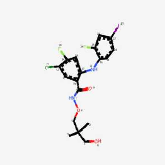 CC(C)(CO)CONC(=O)c1cc(Cl)c(F)cc1Nc1ccc(I)cc1F